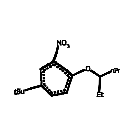 CCCC(CC)Oc1ccc(C(C)(C)C)cc1[N+](=O)[O-]